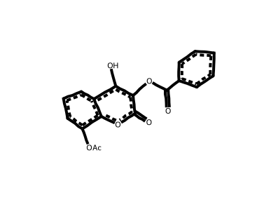 CC(=O)Oc1cccc2c(O)c(OC(=O)c3ccccc3)c(=O)oc12